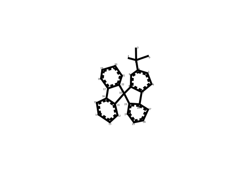 CC(C)(C)c1ccc2c(c1)C1(c3ccccc3-c3ccccc31)c1ccccc1-2